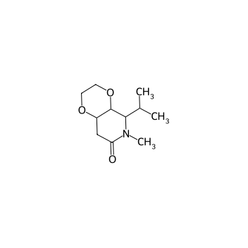 CC(C)C1C2OCCOC2CC(=O)N1C